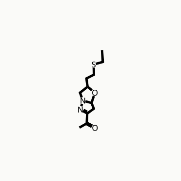 CCSCCC1CN2N=C(C(C)=O)CC2O1